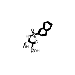 O=C(NO)[C@H](CO)NS(=O)(=O)c1ccc2ccccc2c1